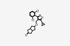 O=C1CC2CC(OCc3c(-c4c(Cl)cccc4Cl)noc3C3CC3)CC2C1